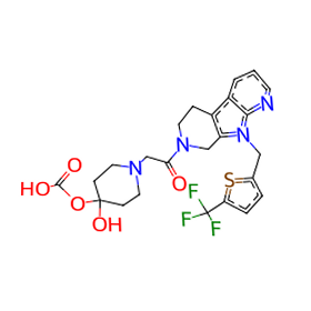 O=C(O)OC1(O)CCN(CC(=O)N2CCc3c(n(Cc4ccc(C(F)(F)F)s4)c4ncccc34)C2)CC1